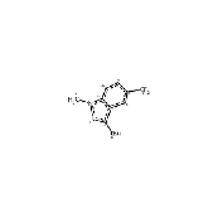 Cn1nc(C(C)(C)C)c2cc(C(F)(F)F)ccc21